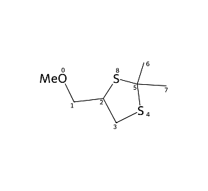 COCC1CSC(C)(C)S1